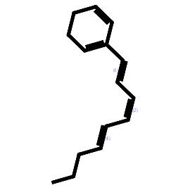 CCC/C=C/C=C\C=C\C1=CCCC=C1